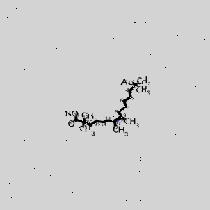 CC(=O)C(C)(C)CCCCC/C(C)=C(/C)CCCCC(C)(C)C(=O)N=O